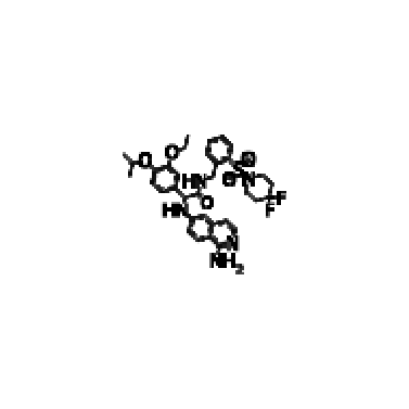 CCOc1cc(C(Nc2ccc3c(N)nccc3c2)C(=O)NCc2ccccc2S(=O)(=O)N2CCC(F)(F)CC2)ccc1OC(C)C